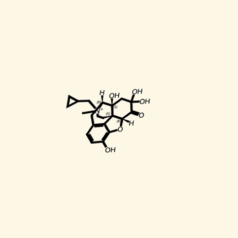 C[N+]1(CC2CC2)CC[C@]23c4c5ccc(O)c4O[C@H]2C(=O)C(O)(O)C[C@@]3(O)[C@H]1C5